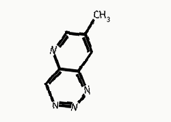 Cc1cnc2cnnnc2c1